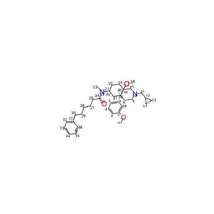 COc1cccc([C@@]23CCN(CC4CC4)C[C@@]2(OC)CC[C@H](N(C)C(=O)CCCCCc2ccccc2)C3)c1